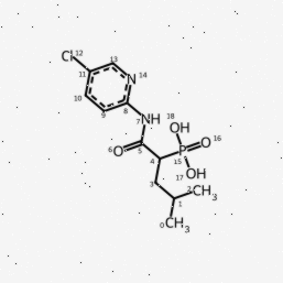 CC(C)CC(C(=O)Nc1ccc(Cl)cn1)P(=O)(O)O